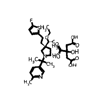 CCO[C@H](C)[C@]1(CCc2ccc(F)s2)CCN(C(C)(C)c2ccc(C)nc2)C1.O=C(O)CC(O)(CC(=O)O)C(=O)O